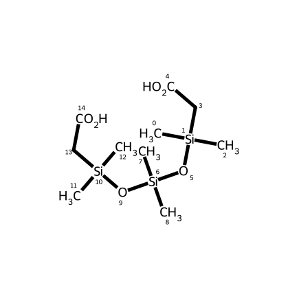 C[Si](C)(CC(=O)O)O[Si](C)(C)O[Si](C)(C)CC(=O)O